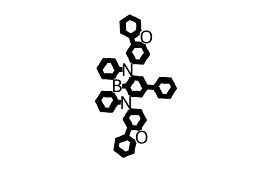 C1=Cc2c(oc3ccc(N4c5ccccc5B5c6ccccc6N(c6ccc7oc8ccccc8c7c6)c6cc(-c7ccccc7)cc4c65)cc23)CC1